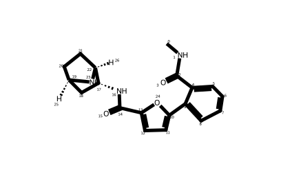 CNC(=O)c1ccccc1-c1ccc(C(=O)N[C@@H]2C[C@H]3CC[C@@H]2N3)o1